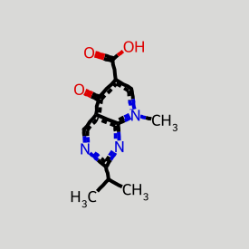 CC(C)c1ncc2c(=O)c(C(=O)O)cn(C)c2n1